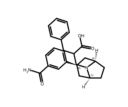 NC(=O)c1cccc([C@H]2C[C@H]3CC[C@@H](C2)N3CC(Cc2ccccc2)C(=O)O)c1